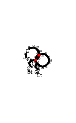 CCOCCC1(OC2(CCOCC)CCCCCCCCCCC2)CCCCCCCCCCC1